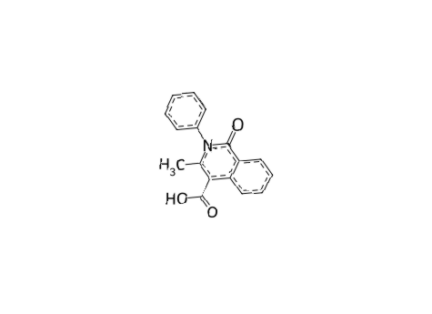 Cc1c(C(=O)O)c2ccccc2c(=O)n1-c1ccccc1